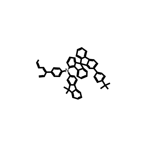 C=C/C(=C\C=C/C)c1ccc(N(c2ccc3c(c2)C(C)(C)c2ccccc2-3)c2cccc3c2-c2ccccc2C32c3ccccc3-c3ccc(-c4ccc(C(C)(C)C)cc4)cc32)cc1